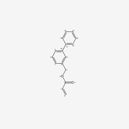 C=CC(=O)OCc1cccc(-c2ccccc2)c1